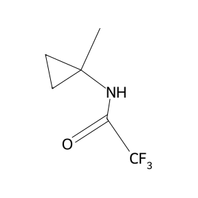 CC1(NC(=O)C(F)(F)F)CC1